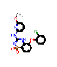 COc1cccc(NC2=NS(=O)(=O)c3cccc(Oc4ccccc4Cl)c3N2)n1